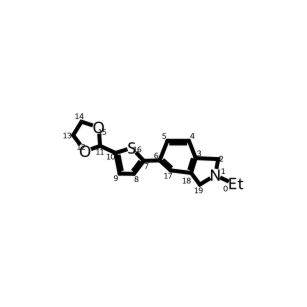 CCN1Cc2ccc(-c3ccc(C4OCCO4)s3)cc2C1